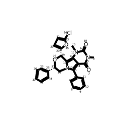 Cn1c(=O)c2c(-c3ccccc3)n3c(c2n(C)c1=O)[C@@H](c1ccc(Cl)o1)O[C@@H](c1ccccc1)C3